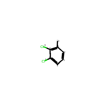 [CH]c1cccc(Cl)c1Cl